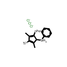 CCCCCC1=C(C)[C]([Ti+3])=C(C)C1[SiH2]c1ccccc1.[Cl-].[Cl-].[Cl-]